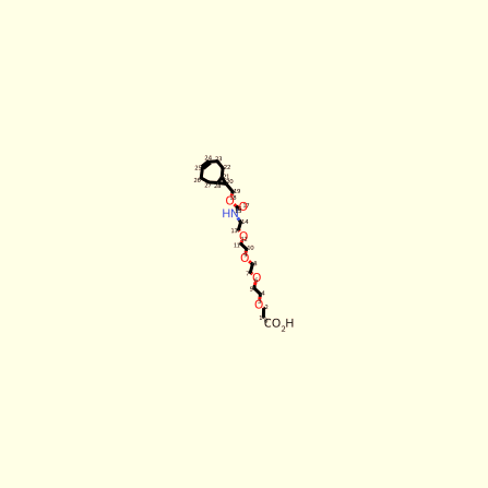 O=C(O)CCOCCOCCOCCOCCNC(=O)OCC1C2CCC#CCCC21